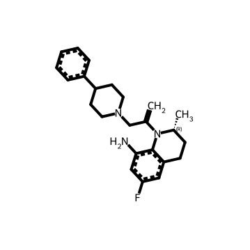 C=C(CN1CCC(c2ccccc2)CC1)N1c2c(N)cc(F)cc2CC[C@H]1C